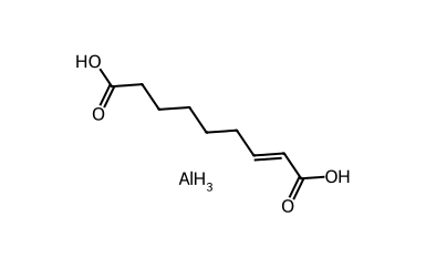 O=C(O)C=CCCCCCC(=O)O.[AlH3]